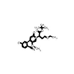 CCOCCC(C(=O)OC(C)(C)C)n1cc(OC)c(-c2cc(Cl)ccc2C#N)cc1=O